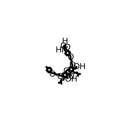 CC(C)=CCc1c(OCCCOc2ccc(C)cc2)cc2oc3cc(OCCCOc4ccc(N[SH](=O)=O)cc4)c(CO)c(CC=C(C)C)c3c(=O)c2c1O